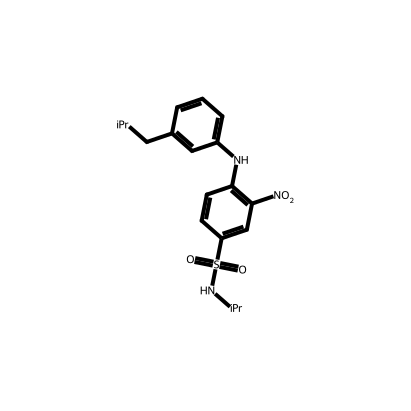 CC(C)Cc1cccc(Nc2ccc(S(=O)(=O)NC(C)C)cc2[N+](=O)[O-])c1